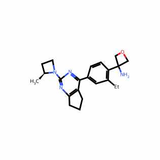 CCc1cc(-c2nc(N3CC[C@@H]3C)nc3c2CCC3)ccc1C1(N)COC1